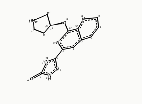 O=c1[nH]nc(-c2cc3cccnc3c(O[C@H]3CCNC3)n2)[nH]1